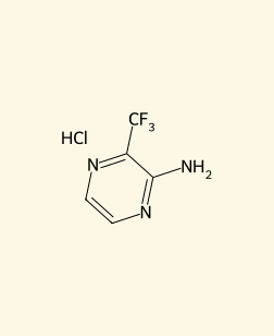 Cl.Nc1nccnc1C(F)(F)F